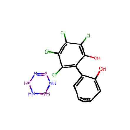 Oc1ccccc1-c1c(O)c(Cl)c(Cl)c(Cl)c1Cl.n1p[nH][pH][nH][pH]1